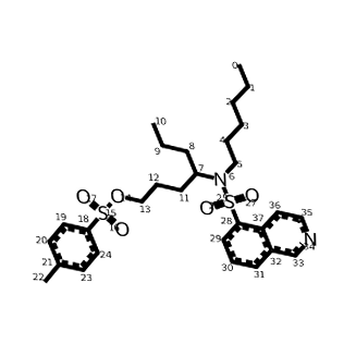 CCCCCCN(C(CCC)CCCOS(=O)(=O)c1ccc(C)cc1)S(=O)(=O)c1cccc2cnccc12